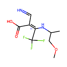 COCC(C)N/C(=C(\C=N)C(=O)O)C(F)(F)F